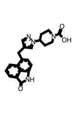 O=C1Nc2ccc(Cc3cnn(C4CCN(C(=O)O)CC4)c3)c3cccc1c23